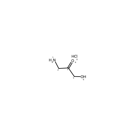 Cl.NCC(=O)CO